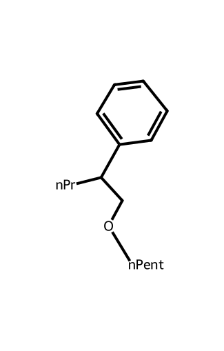 [CH2]CCCCOCC(CCC)c1ccccc1